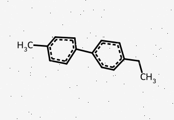 CCc1ccc(-c2c[c]c(C)cc2)cc1